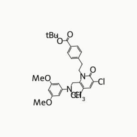 COc1cc(OC)cc(N(C)Cc2c(Cl)cc(Cl)c(=O)n2CCc2ccc(C(=O)OC(C)(C)C)cc2)c1